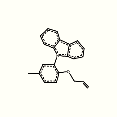 C=CCOc1ccc(C)cc1-n1c2ccccc2c2ccccc21